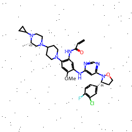 C=CC(=O)Nc1cc(Nc2cc(N3OCC[C@@H]3c3ccc(F)c(Cl)c3)ncn2)c(OC)cc1N1CCC(N2CCN(C3CC3)[C@@H](C)C2)CC1